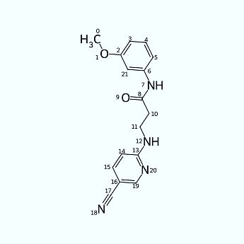 COc1cccc(NC(=O)CCNc2ccc(C#N)cn2)c1